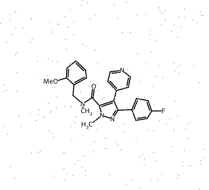 COc1ccccc1CN(C)C(=O)c1c(-c2ccncc2)c(-c2ccc(F)cc2)nn1C